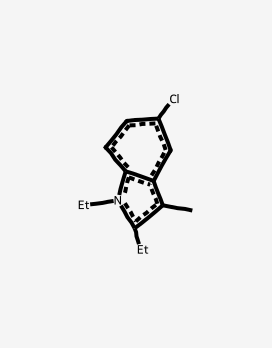 CCc1c(C)c2cc(Cl)ccc2n1CC